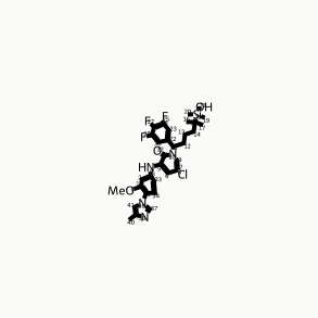 COc1cc(Nc2cc(Cl)cn(C(CCCC(C)(C)[Si](C)(C)O)c3cc(F)c(F)c(F)c3)c2=O)ccc1-n1cnc(C)c1